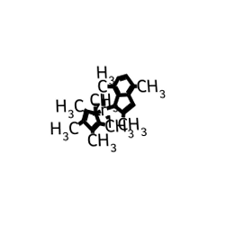 CC1=Cc2c(C)ccc(C)c2[CH]1[Zr]([I])([I])[C]1(C)C(C)=C(C)C(C)=C1C